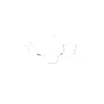 Cc1cn([C@H]2C[C@H](O)[C@@H](COP(=O)(O)O)O2)c(=O)[nH]c1=O.[NaH]